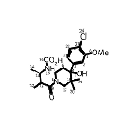 COc1cc(C2(O)CCN(C(=O)C(C)[C@@H](C)NC(=O)O)CC2(C)C)ccc1Cl